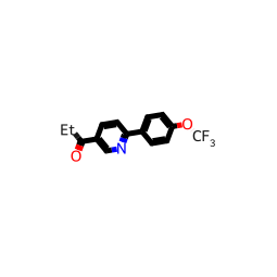 CCC(=O)c1ccc(-c2ccc(OC(F)(F)F)cc2)nc1